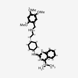 COc1cc(OC)c(OC)cc1CNCC[C@H]1CC[C@@H](Nc2nc(N(C)C)c3ccccc3n2)CC1